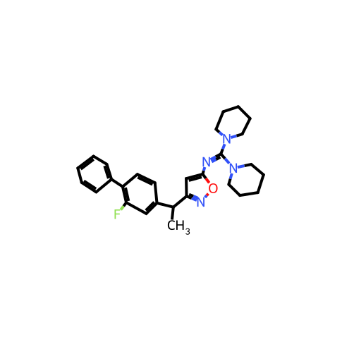 CC(c1ccc(-c2ccccc2)c(F)c1)c1cc(N=C(N2CCCCC2)N2CCCCC2)on1